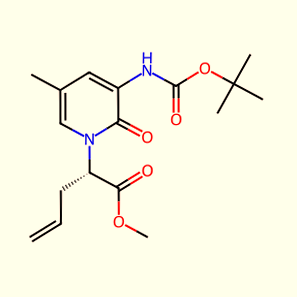 C=CC[C@@H](C(=O)OC)n1cc(C)cc(NC(=O)OC(C)(C)C)c1=O